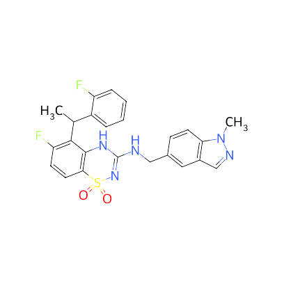 CC(c1ccccc1F)c1c(F)ccc2c1NC(NCc1ccc3c(cnn3C)c1)=NS2(=O)=O